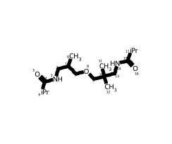 CC(CNC(=O)C(C)C)COCC(C)(C)CNC(=O)C(C)C